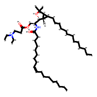 CCCCCCCC/C=C\CCCCCCCC(=O)N[C@@H](COC(=O)CCN(CC)CC)[C@@H]1OC(C)(C)C2C(CCCCCCCCCCCCC)[C@@H]21